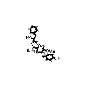 CC[C@H](C)[C@H](NC(=O)C(S)Cc1ccccc1)C(=O)N[C@@H](Cc1ccc(O)cc1)C(=O)OC